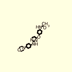 CC(=O)Nc1ccc(Oc2ccnc(Nc3ccc(N4CCOCC4)cc3)n2)cc1